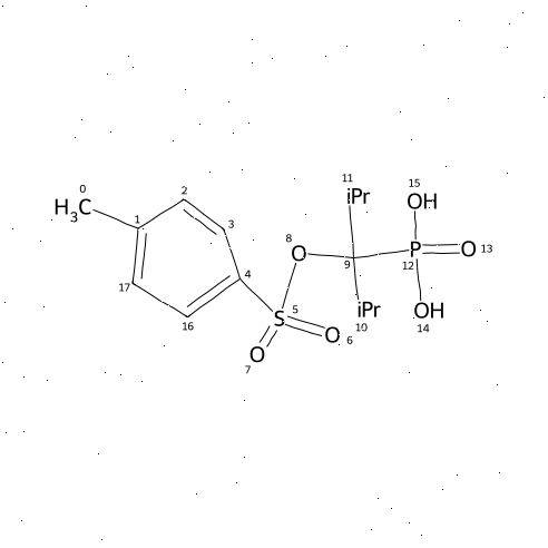 Cc1ccc(S(=O)(=O)OC(C(C)C)(C(C)C)P(=O)(O)O)cc1